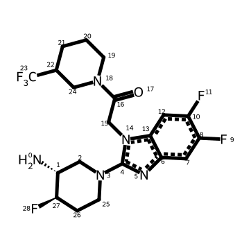 N[C@@H]1CN(c2nc3cc(F)c(F)cc3n2CC(=O)N2CCCC(C(F)(F)F)C2)CC[C@H]1F